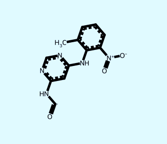 Cc1cccc([N+](=O)[O-])c1Nc1cc(N[C]=O)ncn1